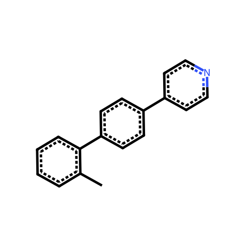 Cc1ccccc1-c1ccc(-c2ccncc2)cc1